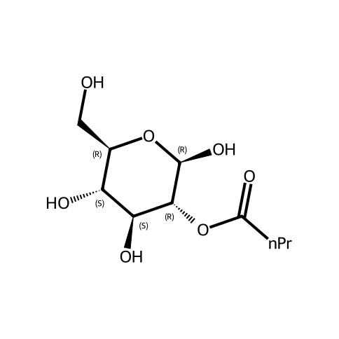 CCCC(=O)O[C@@H]1[C@@H](O)[C@H](O)[C@@H](CO)O[C@H]1O